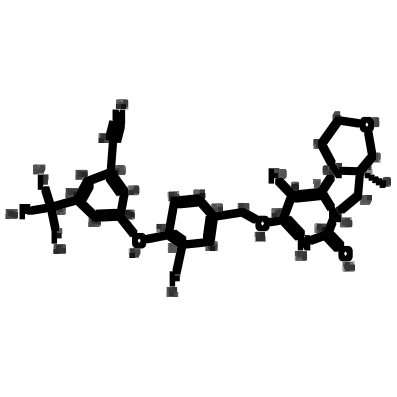 C[C@@]12COCCN1c1c(F)c(OCc3ccc(Oc4cc(C#N)cc(C(F)(F)F)c4)c(F)c3)nc(=O)n1C2